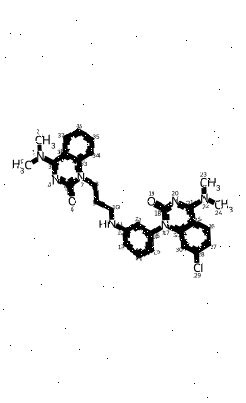 CN(C)c1nc(=O)n(CCCNc2cccc(-n3c(=O)nc(N(C)C)c4ccc(Cl)cc43)c2)c2ccccc12